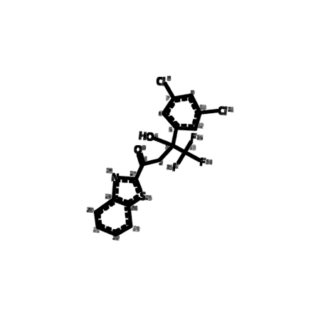 O=C(CC(O)(c1cc(Cl)cc(Cl)c1)C(F)(F)F)c1nc2ccccc2s1